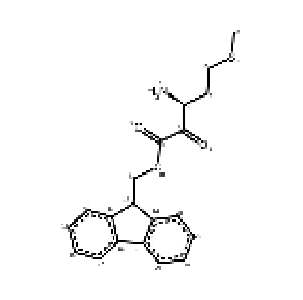 CSCC[C@H](N)C(=O)C(=O)OCC1c2ccccc2-c2ccccc21